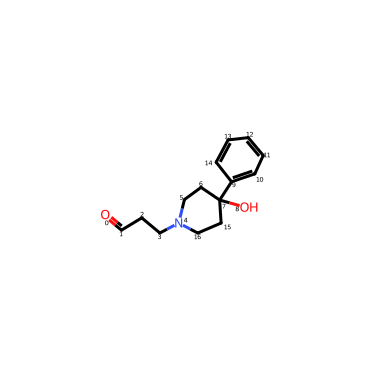 O=CCCN1CCC(O)(c2ccccc2)CC1